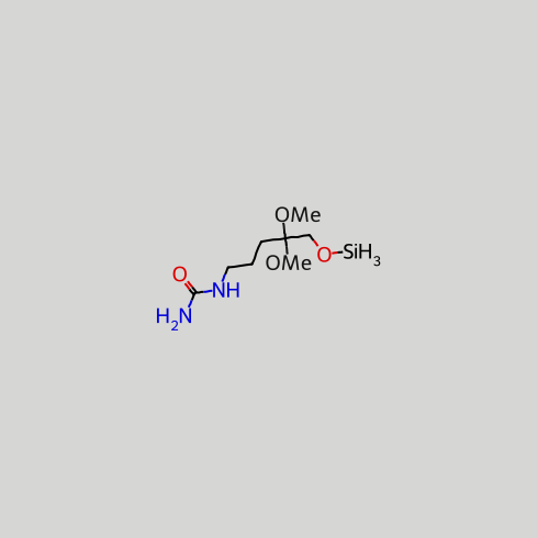 COC(CCCNC(N)=O)(CO[SiH3])OC